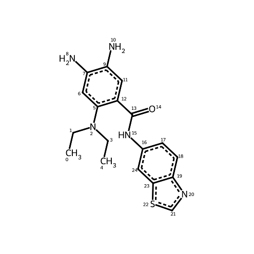 CCN(CC)c1cc(N)c(N)cc1C(=O)Nc1ccc2ncsc2c1